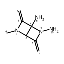 C=C1C2N(C)C(=C)C2(N)N1N